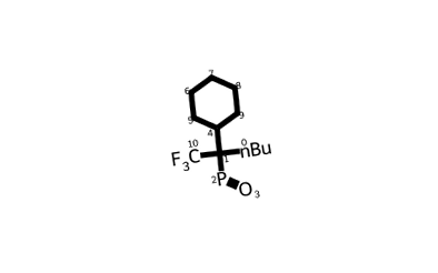 CCCCC(P=O)(C1CCCCC1)C(F)(F)F